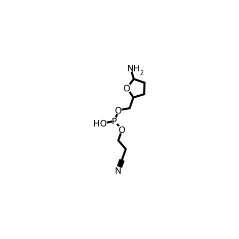 N#CCCOP(O)OCC1CCC(N)O1